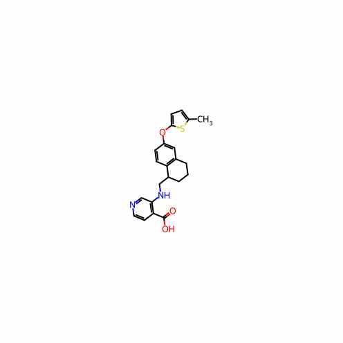 Cc1ccc(Oc2ccc3c(c2)CCCC3CNc2cnccc2C(=O)O)s1